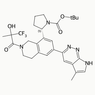 Cc1c[nH]c2nnc(-c3cc4c(c([C@@H]5CCCN5C(=O)OC(C)(C)C)c3)CN(C(=O)C(C)(O)C(F)(F)F)CC4)cc12